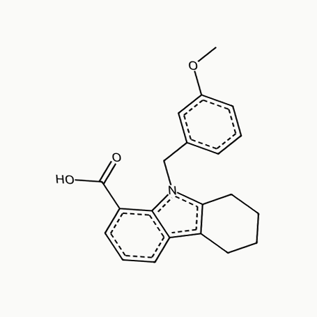 COc1cccc(Cn2c3c(c4cccc(C(=O)O)c42)CCCC3)c1